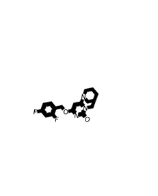 O=c1nc(OCc2ccc(F)cc2F)cc2n1CC1CCCN2C1